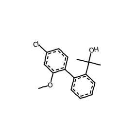 COc1cc(Cl)ccc1-c1ccccc1C(C)(C)O